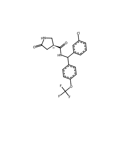 O=C1C[C@H](C(=O)NC(c2ccc(OC(F)(F)F)cc2)c2cccc(Cl)c2)CN1